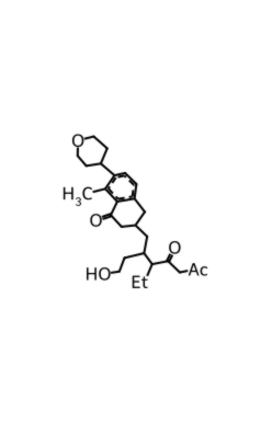 CCC(C(=O)CC(C)=O)C(CCO)CC1CC(=O)c2c(ccc(C3CCOCC3)c2C)C1